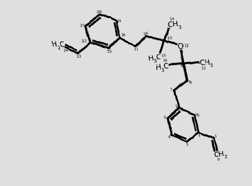 C=Cc1cccc(CCC(C)(C)OC(C)(C)CCc2cccc(C=C)c2)c1